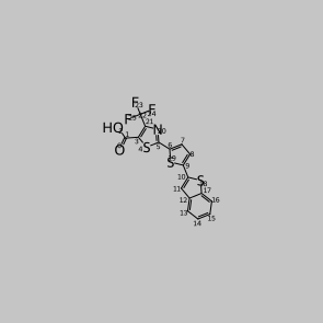 O=C(O)c1sc(-c2ccc(-c3cc4ccccc4s3)s2)nc1C(F)(F)F